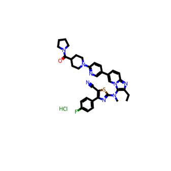 CCc1nc2ccc(-c3ccc(N4CCC(C(=O)N5CCCC5)CC4)nc3)cn2c1N(C)c1nc(-c2ccc(F)cc2)c(C#N)s1.Cl